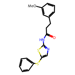 COc1cccc(CCC(=O)Nc2ncc(Sc3ccccc3)s2)c1